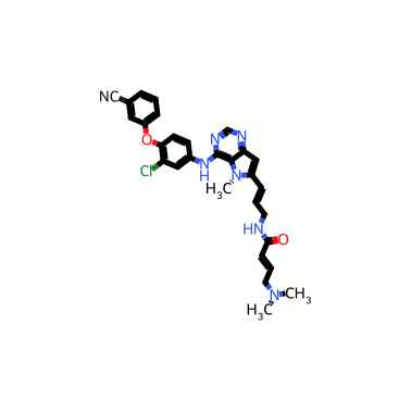 CN(C)CC=CC(=O)NCC=Cc1cc2ncnc(Nc3ccc(Oc4cccc(C#N)c4)c(Cl)c3)c2n1C